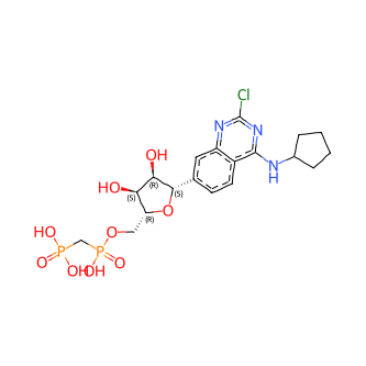 O=P(O)(O)CP(=O)(O)OC[C@H]1O[C@@H](c2ccc3c(NC4CCCC4)nc(Cl)nc3c2)[C@H](O)[C@@H]1O